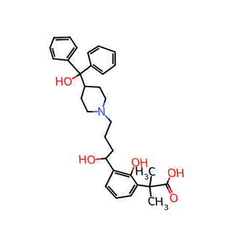 CC(C)(C(=O)O)c1cccc(C(O)CCCN2CCC(C(O)(c3ccccc3)c3ccccc3)CC2)c1O